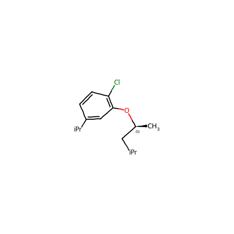 CC(C)C[C@H](C)Oc1cc(C(C)C)ccc1Cl